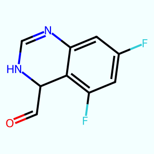 O=CC1NC=Nc2cc(F)cc(F)c21